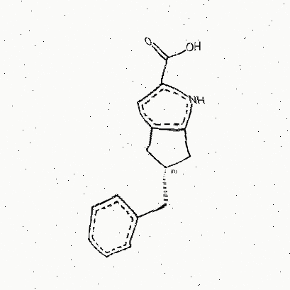 O=C(O)c1cc2c([nH]1)C[C@H](Cc1ccccc1)C2